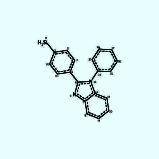 [SiH3]c1ccc(-c2nc3ccccc3n2-c2ccccc2)cc1